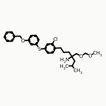 COCOCC(N)(CCCc1ccc(Sc2cccc(OCc3ccccc3)c2)cc1Cl)CC(C)C